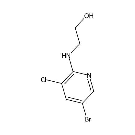 OCCNc1ncc(Br)cc1Cl